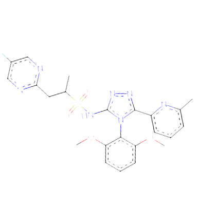 COc1cccc(OC)c1-n1c(NS(=O)(=O)C(C)Cc2ncc(F)cn2)nnc1-c1cccc(C)n1